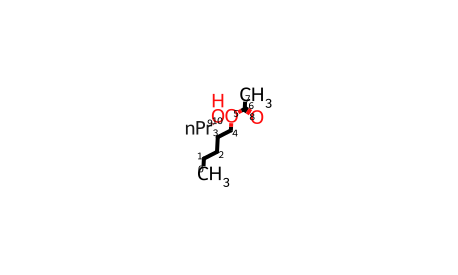 CCCCCOC(C)=O.CCCO